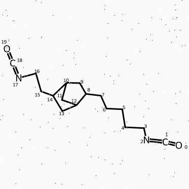 O=C=NCCCCCC1CC2CC1CC2CCN=C=O